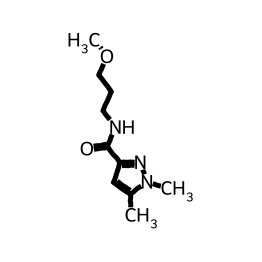 COCCCNC(=O)c1cc(C)n(C)n1